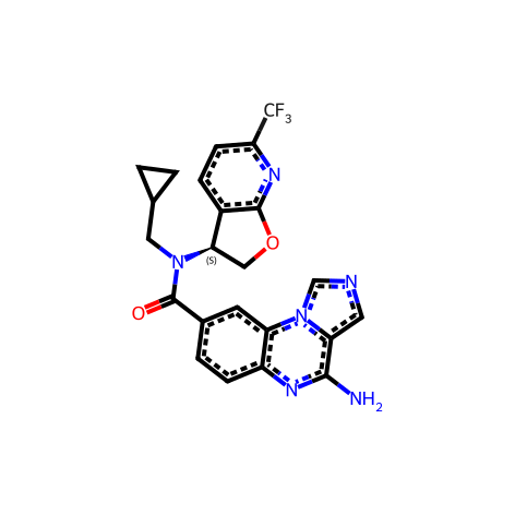 Nc1nc2ccc(C(=O)N(CC3CC3)[C@@H]3COc4nc(C(F)(F)F)ccc43)cc2n2cncc12